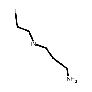 NCCCNCCI